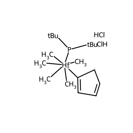 CC(C)(C)[P](C(C)(C)C)[Hf]([CH3])([CH3])([CH3])([CH3])([CH3])[C]1=CC=CC1.Cl.Cl